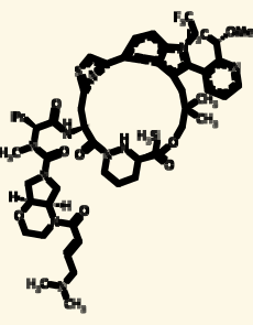 CO[C@@H](C)c1ncccc1-c1c2c3cc(ccc3n1CC(F)(F)F)-c1csc(n1)C[C@H](NC(=O)[C@H](C(C)C)N(C)C(=O)N1C[C@@H]3OCCN(C(=O)/C=C/CN(C)C)[C@@H]3C1)C(=O)N1CCC[C@@](C(=O)[SiH3])(COCC(C)(C)C2)N1